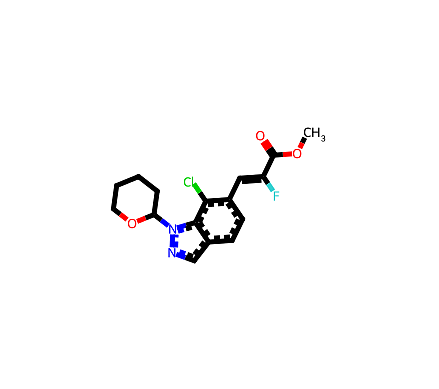 COC(=O)/C(F)=C/c1ccc2cnn(C3CCCCO3)c2c1Cl